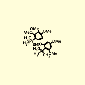 COc1cc(OC)[c]([Sn]([CH3])([CH3])[CH3])c(OC)c1.COc1cc[c]([Sn]([CH3])([CH3])[CH3])c(OC)c1OC